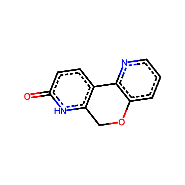 O=c1ccc2c([nH]1)COc1cccnc1-2